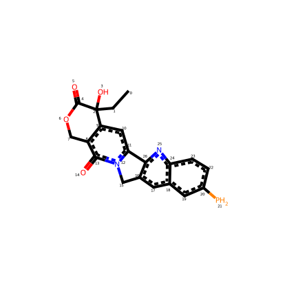 CCC1(O)C(=O)OCc2c1cc1n(c2=O)Cc2cc3cc(P)ccc3nc2-1